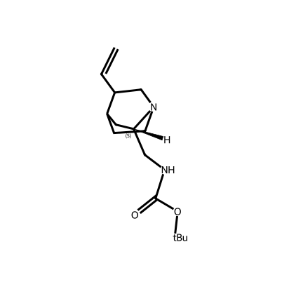 C=CC1CN2CCC1C[C@H]2CNC(=O)OC(C)(C)C